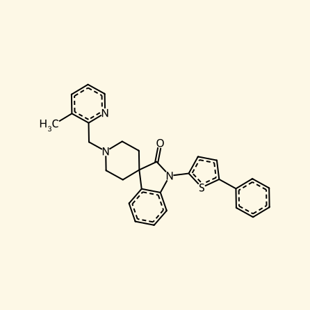 Cc1cccnc1CN1CCC2(CC1)C(=O)N(c1ccc(-c3ccccc3)s1)c1ccccc12